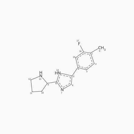 Cc1ccc(-c2cnc(C3CCCN3)[nH]2)cc1F